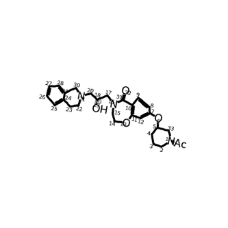 CC(=O)N1CCCC(Oc2ccc3c(c2)OCCN(C[C@H](O)CN2CCc4ccccc4C2)C3=O)C1